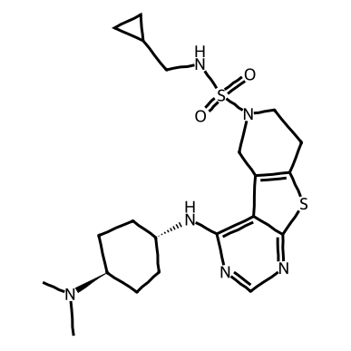 CN(C)[C@H]1CC[C@H](Nc2ncnc3sc4c(c23)CN(S(=O)(=O)NCC2CC2)CC4)CC1